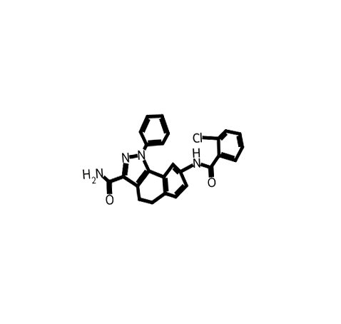 NC(=O)c1nn(-c2ccccc2)c2c1CCc1ccc(NC(=O)c3ccccc3Cl)cc1-2